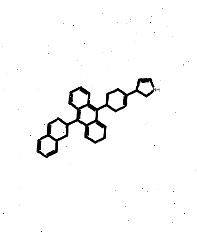 C1=CC2=CCC(c3c4c(c(C5CC=C(C6C=CNC6)CC5)c5ccccc35)=CCCC=4)CC2C=C1